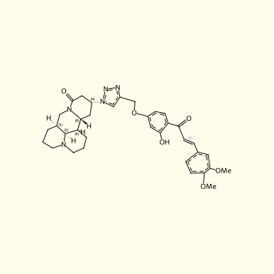 COc1ccc(/C=C/C(=O)c2ccc(OCc3cn([C@H]4CC(=O)N5C[C@@H]6CCCN7CCC[C@@H]([C@H]67)[C@H]5C4)nn3)cc2O)cc1OC